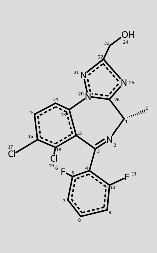 C[C@@H]1N=C(c2c(F)cccc2F)c2c(ccc(Cl)c2Cl)-n2nc(CO)nc21